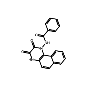 O=C(Nn1c(=O)c(=O)[nH]c2ccc3ccccc3c21)c1ccccc1